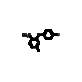 Cc1ccc(C(=O)O)c(Oc2ccc(Cl)cc2)n1